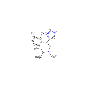 CC(C)CC(C(=O)O)N(CCc1cncn1Cc1ccccc1Cl)C(=O)O